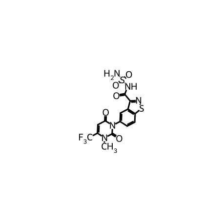 Cn1c(C(F)(F)F)cc(=O)n(-c2ccc3snc(C(=O)NS(N)(=O)=O)c3c2)c1=O